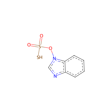 O=S(=O)(S)On1cnc2ccccc21